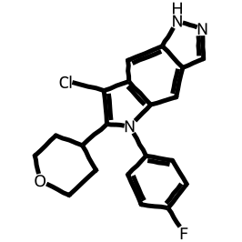 Fc1ccc(-n2c(C3CCOCC3)c(Cl)c3cc4[nH]ncc4cc32)cc1